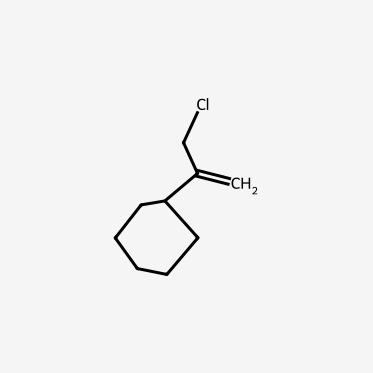 C=C(CCl)C1CCCCC1